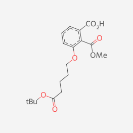 COC(=O)c1c(OCCCCC(=O)OC(C)(C)C)cccc1C(=O)O